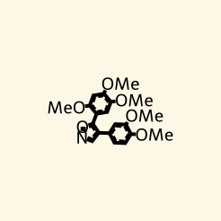 COc1ccc(-c2cnoc2-c2cc(OC)c(OC)cc2OC)cc1OC